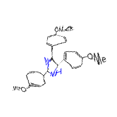 COc1ccc(C2=N[C@@H](c3ccc(OC)cc3)[C@H](c3ccc(OC)cc3)N2)cc1